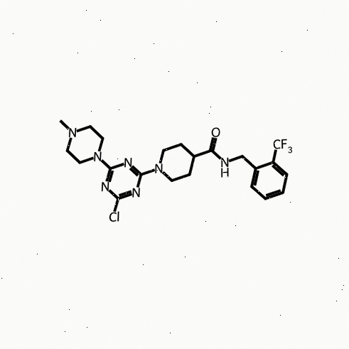 CN1CCN(c2nc(Cl)nc(N3CCC(C(=O)NCc4ccccc4C(F)(F)F)CC3)n2)CC1